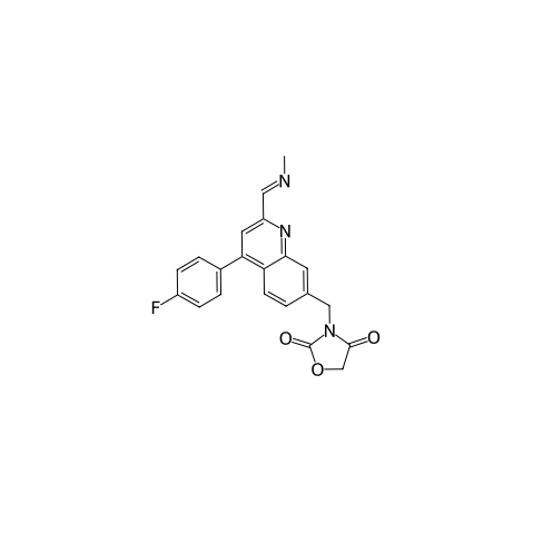 C/N=C/c1cc(-c2ccc(F)cc2)c2ccc(CN3C(=O)COC3=O)cc2n1